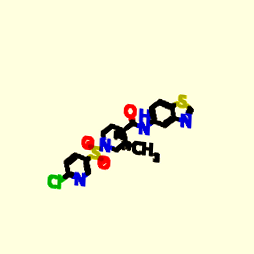 C[C@@H]1CN(S(=O)(=O)c2ccc(Cl)nc2)CC[C@H]1C(=O)Nc1ccc2scnc2c1